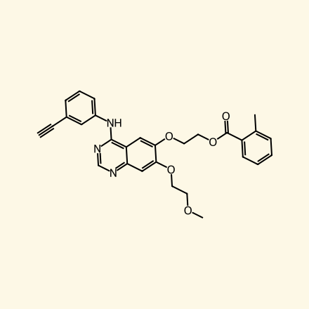 C#Cc1cccc(Nc2ncnc3cc(OCCOC)c(OCCOC(=O)c4ccccc4C)cc23)c1